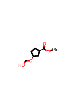 CC(C)(C)OC(=O)[C@@H]1CC[C@@H](OCO)C1